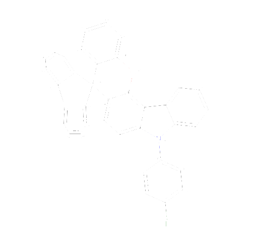 Fc1ccc(-n2c3ccccc3c3c4c(ccc32)C2(c3ccccc3O4)c3ccccc3-c3ccccc32)cc1